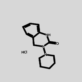 Cl.O=C1Nc2ccccc2CN1N1CCCCC1